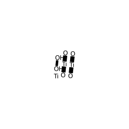 OO.[O]=[Ti]=[O].[O]=[Ti]=[O].[Ti]